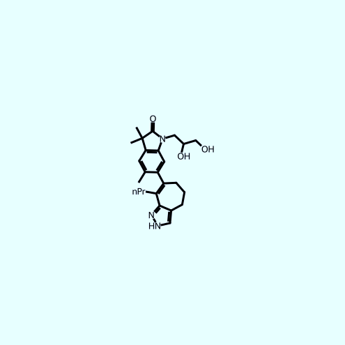 CCCC1=C(c2cc3c(cc2C)C(C)(C)C(=O)N3CC(O)CO)CCCc2c[nH]nc21